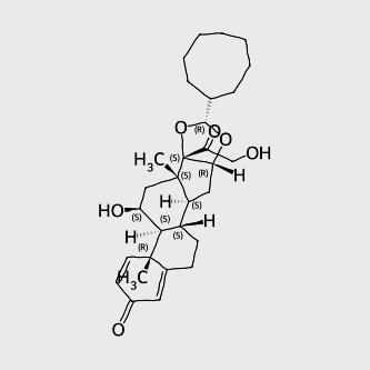 C[C@]12C=CC(=O)C=C1CC[C@@H]1[C@@H]2[C@@H](O)C[C@@]2(C)[C@H]1C[C@H]1O[C@@H](C3CCCCCCC3)O[C@]12C(=O)CO